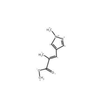 COC(=O)/C(C)=C/c1cnn(C)c1